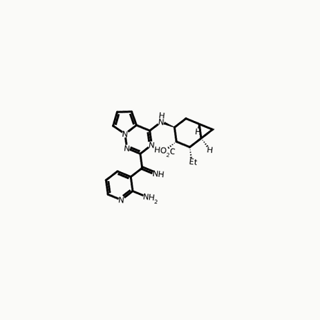 CC[C@H]1[C@@H]2C[C@@H]2C[C@H](Nc2nc(C(=N)c3cccnc3N)nn3cccc23)[C@H]1C(=O)O